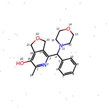 Cc1nc(C(c2ccccc2)N2CCOCC2)c2c(c1O)COC2